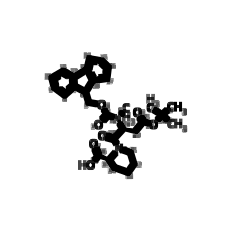 CN(C(=O)OCC1c2ccccc2-c2ccccc21)[C@@H](CC(=O)OC(C)(C)C)C(=O)N1CCCC[C@H]1C(=O)O